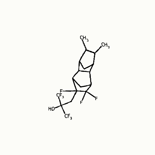 CC1C(C)C2CC1C1C2C2CC1C(F)(F)C2(F)CC(O)(C(F)(F)F)C(F)(F)F